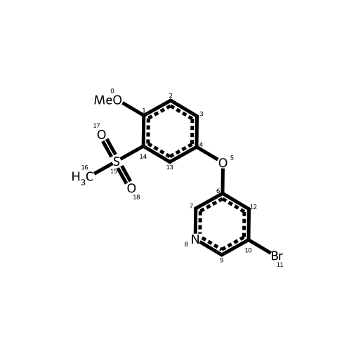 COc1ccc(Oc2cncc(Br)c2)cc1S(C)(=O)=O